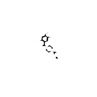 CC(C)(C)OC(=O)N1CCN(C(=O)c2cc(Cl)c(O)cc2O)CC1